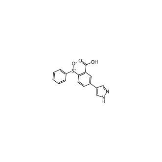 O=C(O)c1cc(-c2cn[nH]c2)ccc1[S+]([O-])c1ccccc1